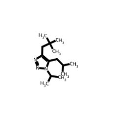 CC(C)Cc1c(CC(C)(C)C)nnn1C(C)C